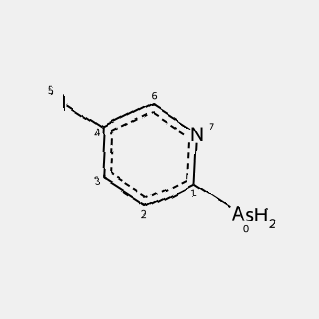 [AsH2]c1ccc(I)cn1